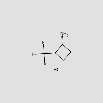 Cl.N[C@@H]1CC[C@H]1C(F)(F)F